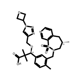 Cc1ccc([C@H](OCc2cn(C3COC3)nn2)C(C)(C)C(=O)O)cc1CN1C[C@@H](C)Cc2ccncc2S1(=O)=O